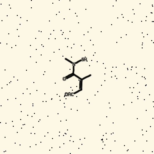 C/C(=C/C=O)C(=O)N(C)S